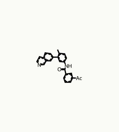 CC(=O)c1cccc(C(=O)Nc2ccc(C)c(-c3ccc4ccncc4c3)c2)c1